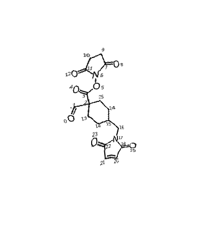 O=[C]C1(C(=O)ON2C(=O)CCC2=O)CCC(CN2C(=O)C=CC2=O)CC1